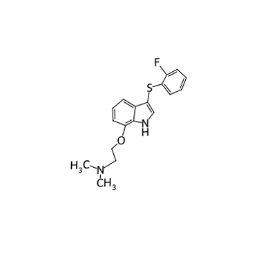 CN(C)CCOc1cccc2c(Sc3ccccc3F)c[nH]c12